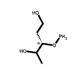 CC(O)[C@H](CCO)OP